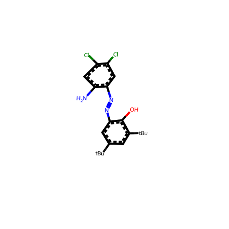 CC(C)(C)c1cc(/N=N/c2cc(Cl)c(Cl)cc2N)c(O)c(C(C)(C)C)c1